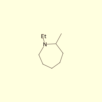 CCN1CCCCCC1C